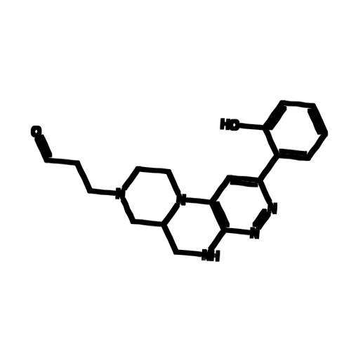 O=CCCN1CCN2c3cc(-c4ccccc4O)nnc3NCC2C1